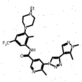 CCN1CCN(c2cc(C(F)(F)F)cc(NC(=O)c3cnc(C)c(-n4cc(-c5cnn(C)c5C)nn4)c3)c2C)CC1